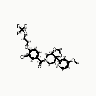 COc1ccnc(C23CCN(C(=O)c4ccc(OCCOC(F)(F)F)c(Cl)c4)CC2OCO3)c1